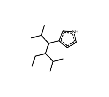 CCC(C(C)C)C(c1cc[nH]c1)C(C)C